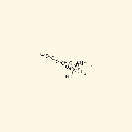 C=C/C=C(\NC1C/C(=C\C=C)N(C)/C(=C/CC)C[C@@H]1C)OCCOCCOCCOCCOCCOCc1ccccc1